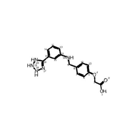 O=C(O)COc1ccc(CNc2cccc(C3=NNNN3)c2)cc1